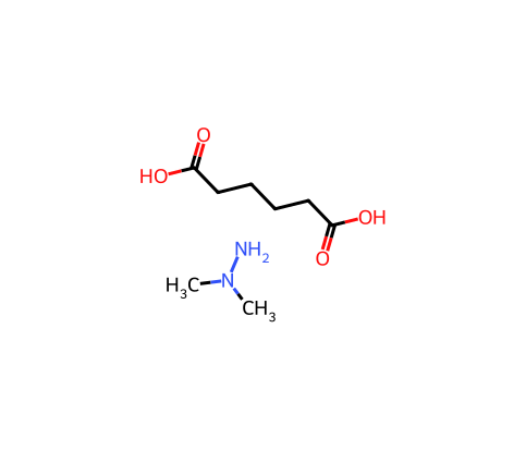 CN(C)N.O=C(O)CCCCC(=O)O